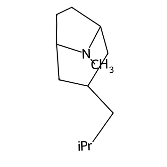 CC(C)CC1CC2CCC(C1)N2C